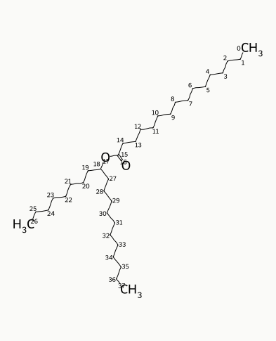 CCCCCCCCCCCCCCCC(=O)OC(CCCCCCCC)CCCCCCCCCCC